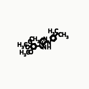 COc1cc(-c2cnc3c(Nc4ccc(C(C)C)cc4)nccn23)cc(OC)c1OC